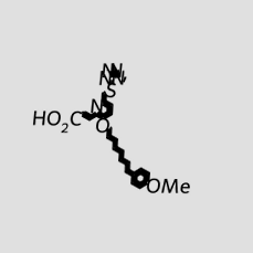 COc1ccc(CCCCCCCCOc2ccc(CSc3nnnn3C)nc2C=CC(=O)O)cc1